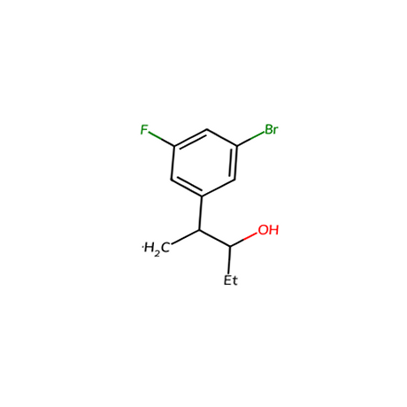 [CH2]C(c1cc(F)cc(Br)c1)C(O)CC